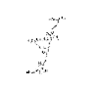 CCCCCCCCCSC(=O)C(C)(C)CCCCCC(CCCCCC(C)(C)C(=O)OCC#CCC(CCCC)CCCC)OC(=O)CCCN(C)C